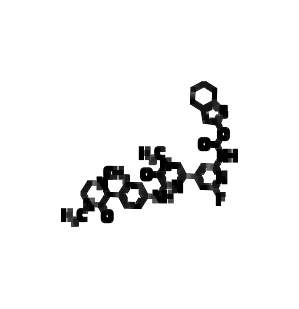 CN1CCN(C)C(c2ccc(Nc3nc(-c4cc(F)nc(NC(=O)Oc5cc6c(s5)CCCC6)c4)cn(C)c3=O)cc2)C1=O